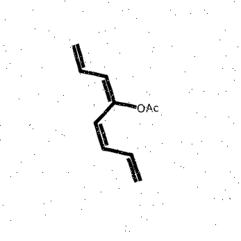 C=C/C=C\C(=C/C=C)OC(C)=O